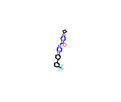 O=C(CN1CCN(c2ccc(-c3cccc(C(F)(F)F)c3)cc2)CC1)N1CCN(C2CCC2)CC1